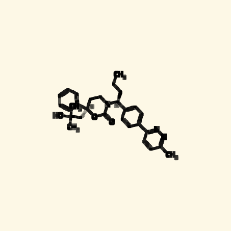 CCC[C@@H](c1ccc(-c2ccc(C)nn2)cc1)N1CC[C@](CC(C)(C)O)(c2ccccc2)OC1=O